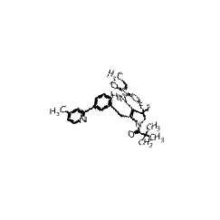 CCS(=O)(=O)N[C@@H]1[C@H](Cc2cccc(-c3cc(C)ccn3)c2)N(C(=O)C(C)(C)C)CC1(F)F